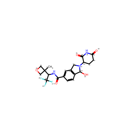 CC1(C(NC(=O)c2ccc3c(c2)CN(C2CCC(=O)NC2=O)C3O)C(F)(F)F)COC1